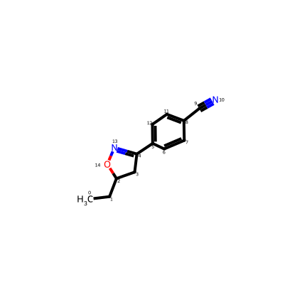 CCC1CC(c2ccc(C#N)cc2)=NO1